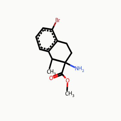 COC(=O)C1(N)CCc2c(Br)cccc2C1C